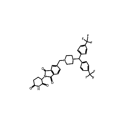 O=C1CCC(N2C(=O)c3ccc(CN4CCN(C(c5ccc(C(F)(F)F)cc5)c5ccc(C(F)(F)F)cc5)CC4)cc3C2=O)C(=O)N1